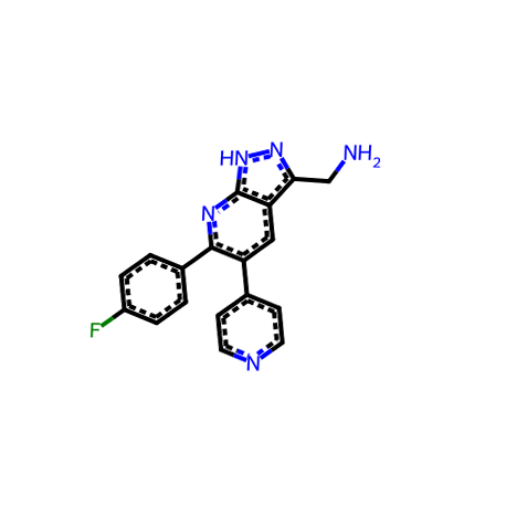 NCc1n[nH]c2nc(-c3ccc(F)cc3)c(-c3ccncc3)cc12